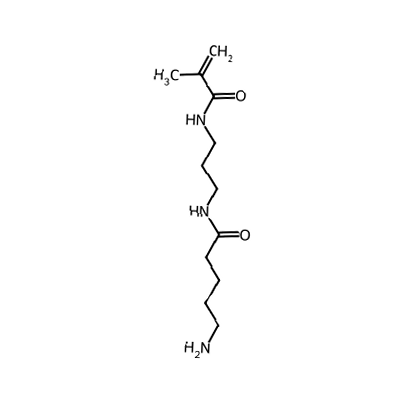 C=C(C)C(=O)NCCCNC(=O)CCCCN